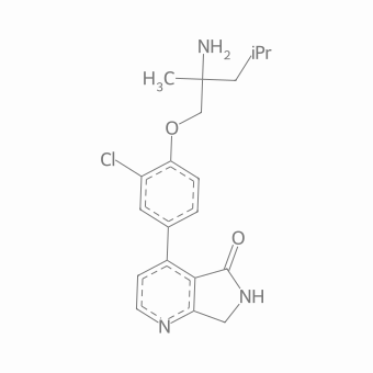 CC(C)CC(C)(N)COc1ccc(-c2ccnc3c2C(=O)NC3)cc1Cl